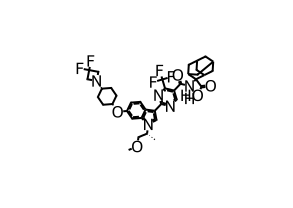 COC[C@@H](C)n1cc(-c2ncc(C(=O)NC3(C(=O)O)C4CC5CC(C4)CC3C5)c(C(F)(F)F)n2)c2ccc(O[C@H]3CC[C@@H](N4CC(F)(F)C4)CC3)cc21